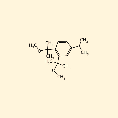 COC(C)(C)c1ccc(C(C)C)cc1C(C)(C)OC